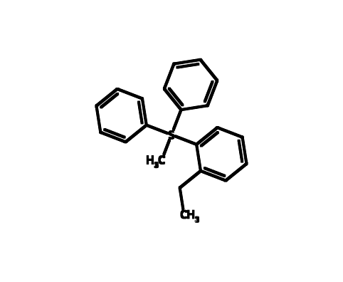 CCc1ccccc1S(C)(c1ccccc1)c1ccccc1